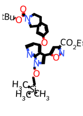 CCOC(=O)c1cc(-c2cn(COCC[Si](C)(C)C)c3nccc(Oc4ccc5c(c4)CN(C(=O)OC(C)(C)C)CC5)c23)on1